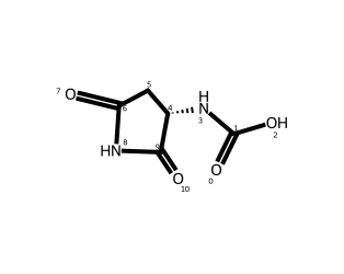 O=C(O)N[C@H]1CC(=O)NC1=O